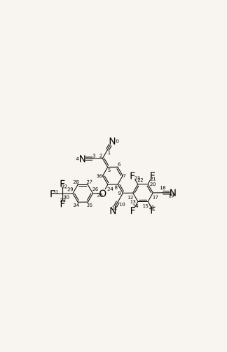 N#CC(C#N)=c1cc/c(=C(/C#N)c2c(F)c(F)c(C#N)c(F)c2F)c(Oc2ccc(C(F)(F)F)cc2)c1